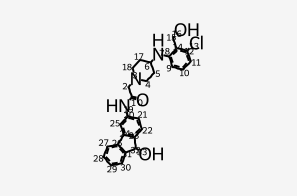 O=C(CN1CCC(Nc2cccc(Cl)c2CO)CC1)Nc1ccc2c(c1)-c1ccccc1C2O